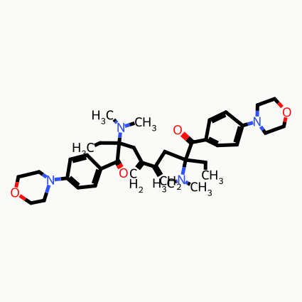 C=C(CC(CC)(C(=O)c1ccc(N2CCOCC2)cc1)N(C)C)C(=C)CC(CC)(C(=O)c1ccc(N2CCOCC2)cc1)N(C)C